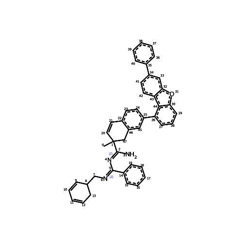 CC1(/C(N)=N/C(=N\CC2C=CC=CC2)c2ccccc2)C=Cc2ccc(-c3cccc4oc5cc(-c6ccccc6)ccc5c34)cc2C1